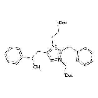 CCCCCCCCCCCC[n+]1c(CC(C)c2ccccc2)cn(CCCCCCCCCCC)c1Cc1ccccc1